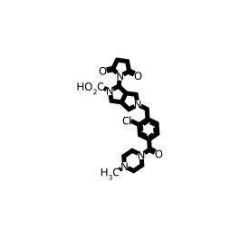 CN1CCN(C(=O)c2ccc(CN3CC4CN(C(=O)O)C(N5C(=O)CCC5=O)C4C3)c(Cl)c2)CC1